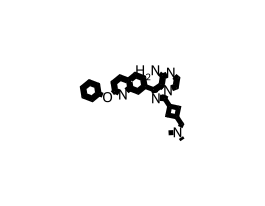 CN(C)CC1CC(c2nc(-c3ccc4ccc(Oc5ccccc5)nc4c3)c3c(N)nccn23)C1